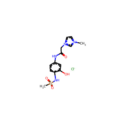 C[n+]1ccn(CC(=O)Nc2ccc(NS(C)(=O)=O)c(O)c2)c1.[Cl-]